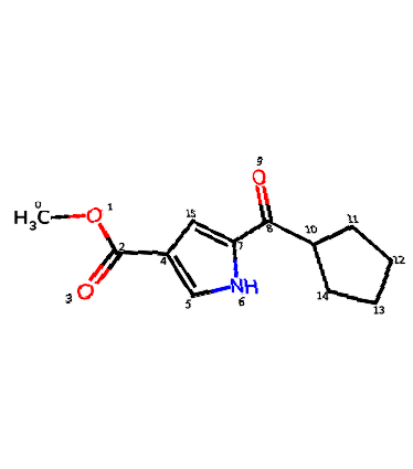 COC(=O)c1c[nH]c(C(=O)C2CCCC2)c1